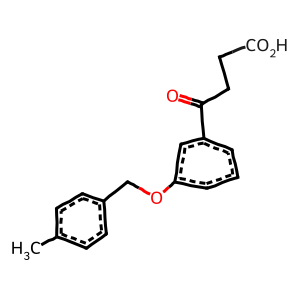 Cc1ccc(COc2cccc(C(=O)CCC(=O)O)c2)cc1